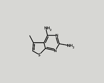 Cc1csc2nc(N)nc(N)c12